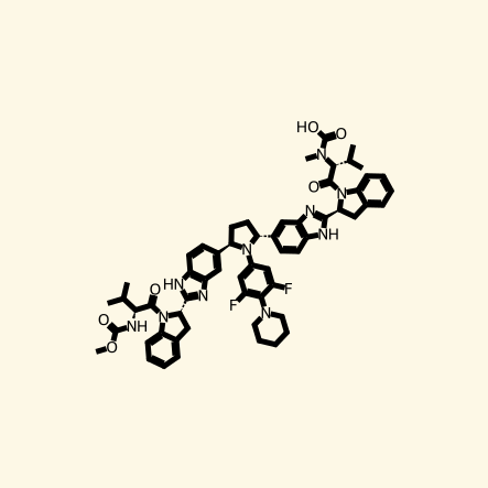 COC(=O)N[C@@H](C(=O)N1c2ccccc2C[C@H]1c1nc2cc([C@H]3CC[C@H](c4ccc5[nH]c([C@@H]6Cc7ccccc7N6C(=O)[C@@H](C(C)C)N(C)C(=O)O)nc5c4)N3c3cc(F)c(N4CCCCC4)c(F)c3)ccc2[nH]1)C(C)C